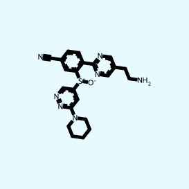 N#Cc1ccc(-c2ncc(CCN)cn2)c([S+]([O-])c2cnnc(N3CCCCC3)c2)c1